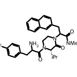 CNC(=O)C(Cc1ccc2ccccc2c1)N1CCN(C(=O)C(N)Cc2ccc(F)cc2)[C@@H](C(C)C)C1=O